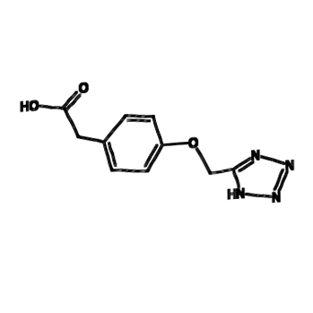 O=C(O)Cc1ccc(OCc2nnn[nH]2)cc1